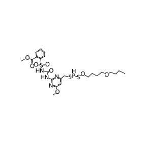 CCCCOCCCCOSPSCc1cc(OC)nc(NC(=O)NS(=O)(=O)c2ccccc2C(=O)OC)n1